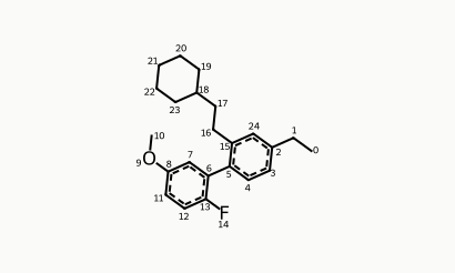 CCc1ccc(-c2cc(OC)ccc2F)c(CCC2CCCCC2)c1